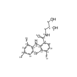 O=C(NC[C@@H](O)CO)c1ccc(F)c(F)c1Nc1ccc(I)cc1F